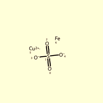 O=S(=O)([O-])[O-].[Cu+2].[Fe]